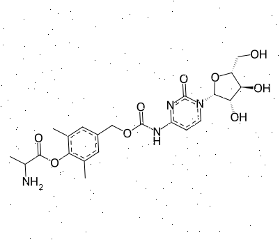 Cc1cc(COC(=O)Nc2ccn([C@@H]3O[C@H](CO)[C@@H](O)[C@@H]3O)c(=O)n2)cc(C)c1OC(=O)C(C)N